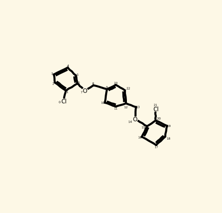 Clc1ccccc1OCc1ccc(COc2ccccc2Cl)cc1